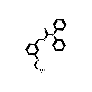 O=C(O)COc1cccc(COC(=O)N(c2ccccc2)c2ccccc2)c1